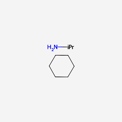 C1CCCCC1.CC(C)N